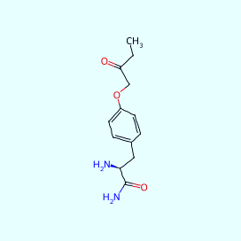 CCC(=O)COc1ccc(C[C@H](N)C(N)=O)cc1